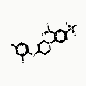 CS(=O)(=O)c1ccc(N2CCC(Oc3ccc(F)cc3F)CC2)c([N+](=O)[O-])c1